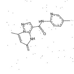 C=C1C=C(C)n2ncc(C(=O)Nc3ccc(C)cn3)c2N1